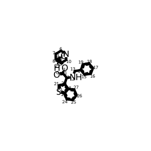 O=C(O[C@H]1CN2CCC1CC2)C(NCc1ccccc1)c1csc2ccccc12